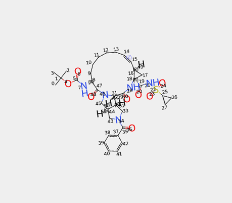 CC(C)(C)OC(=O)N[C@@H]1CCCCC/C=C\[C@H]2C[C@@]2(C(=O)NS(=O)(=O)C2CC2)NC(=O)[C@@H]2[C@H]3CN(C(=O)c4ccccc4)C[C@H]3CN2C1=O